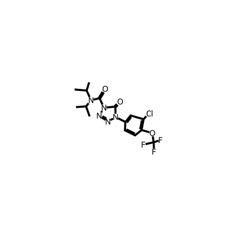 CC(C)N(C(=O)n1nnn(-c2ccc(OC(F)(F)F)c(Cl)c2)c1=O)C(C)C